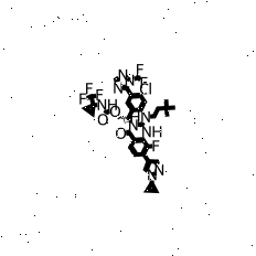 CC(C)(C)CCNC(=N)N(C(=O)c1ccc(-c2cnn(C3CC3)c2)c(F)c1)[C@H](COC(=O)NC1(C(F)(F)F)CC1)c1ccc(Cl)c(-c2ncnn2C(F)F)c1